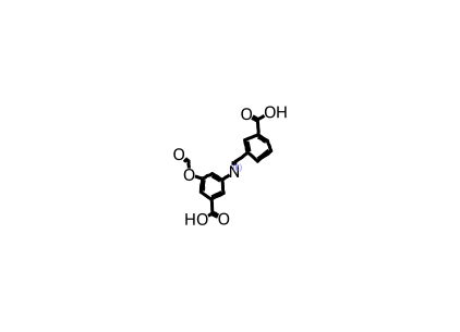 O=COc1cc(/N=C/c2cccc(C(=O)O)c2)cc(C(=O)O)c1